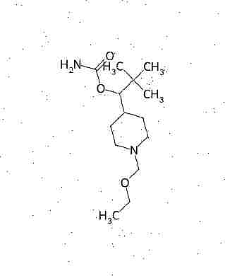 CCOCN1CCC(C(OC(N)=O)C(C)(C)C)CC1